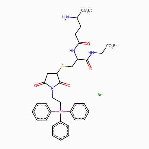 CCOC(=O)CNC(=O)C(CSC1CC(=O)N(CC[P+](c2ccccc2)(c2ccccc2)c2ccccc2)C1=O)NC(=O)CCC(N)C(=O)OCC.[Br-]